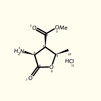 COC(=O)[C@@H]1[C@H](N)C(=O)O[C@@H]1C.Cl